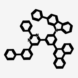 c1ccc(-c2cccc(-c3cc(-c4cc(-c5cc6ccccc6c6ccccc56)cc(-n5c6ccccc6c6ccc(-c7ccccc7)cc65)c4)nc(-c4ccccc4)n3)c2)cc1